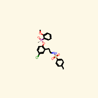 COc1ccccc1[P@](C)(=O)Oc1ccc(Cl)cc1CCNS(=O)(=O)c1ccc(C)cc1